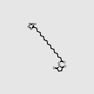 O=C(CCCCCCCCCCCCCCCc1nnn[nH]1)ON1C(=O)CCC1=O